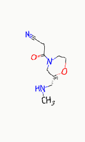 CNC[C@@H]1CN(C(=O)CC#N)CCO1